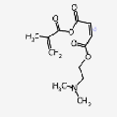 C=C(C)C(=O)OC(=O)/C=C\C(=O)OCCN(C)C